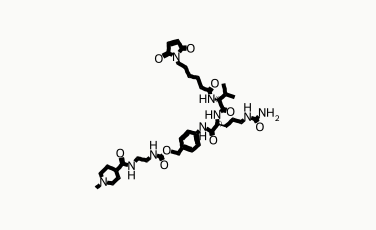 CC(C)[C@H](NC(=O)CCCCCN1C(=O)C=CC1=O)C(=O)N[C@@H](CCCNC(N)=O)C(=O)Nc1ccc(COC(=O)NCCNC(=O)C2CCN(C)CC2)cc1